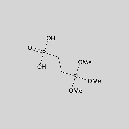 CO[Si](CCP(=O)(O)O)(OC)OC